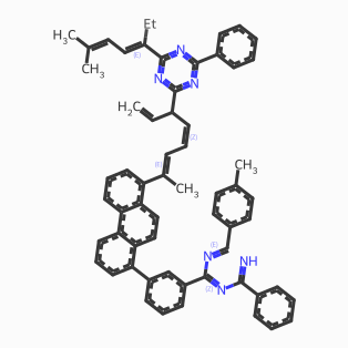 C=CC(/C=C\C=C(/C)c1cccc2c1ccc1c(-c3cccc(C(=N/C(=N)c4ccccc4)/N=C/c4ccc(C)cc4)c3)cccc12)c1nc(/C(=C/C=C(C)C)CC)nc(-c2ccccc2)n1